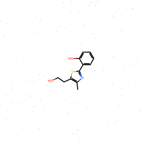 Cc1nc(-c2ccccc2O)sc1CCO